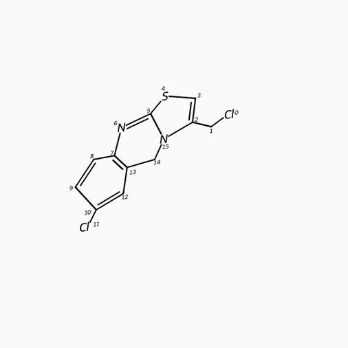 ClCC1=CSC2=Nc3ccc(Cl)cc3CN12